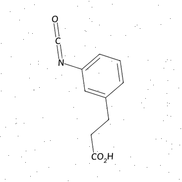 O=C=Nc1cccc(CCC(=O)O)c1